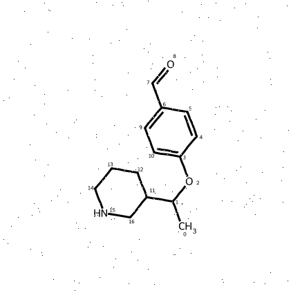 CC(Oc1ccc(C=O)cc1)C1CCCNC1